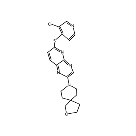 Clc1cnccc1Sc1ccc2nc(N3CCC4(CCOC4)CC3)cnc2n1